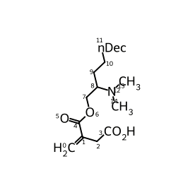 C=C(CC(=O)O)C(=O)OCC(CCCCCCCCCCCC)N(C)C